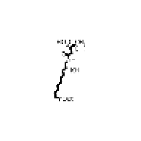 CCCCCCCC/C=C\CCCCCCCCNC(=O)CCC(C)(C)C(=O)O.[KH]